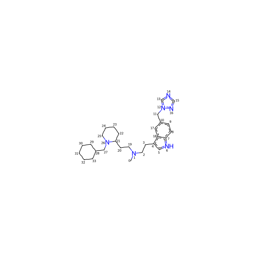 CN(CCc1c[nH]c2ccc(Cn3cncn3)cc12)CCC1CCCCN1CC1CCCCC1